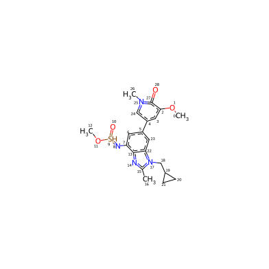 COc1cc(-c2cc(N=[SH](=O)OC)c3nc(C)n(CC4CC4)c3c2)cn(C)c1=O